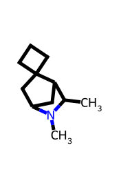 CC1C2CC(CC23CCC3)N1C